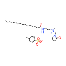 CCCCCCCCCCCCCCC(=O)NCCC[N+](C)(C)CN1CCCC1=O.Cc1ccc(S(=O)(=O)[O-])cc1